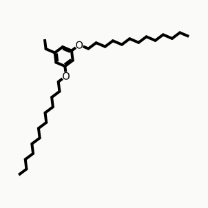 CCCCCCCCCCCCCOc1cc(CC)cc(OCCCCCCCCCCCCC)c1